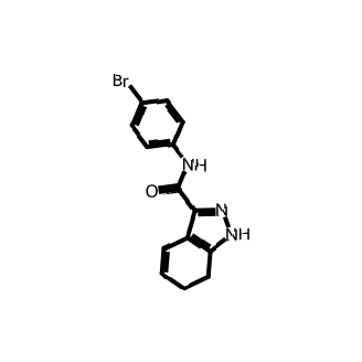 O=C(Nc1ccc(Br)cc1)c1n[nH]c2c1C=CCC2